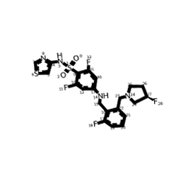 O=S(=O)(Nc1cscn1)c1c(F)cc(NCc2c(F)cccc2CN2CC[C@@H](F)C2)cc1F